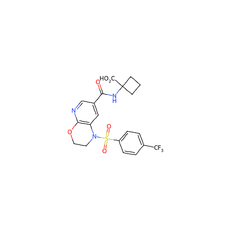 O=C(NC1(C(=O)O)CCC1)c1cnc2c(c1)N(S(=O)(=O)c1ccc(C(F)(F)F)cc1)CCO2